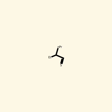 CCCC(C=S)CC